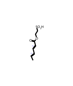 C/C=C/C=C/C(=O)OCCS(=O)(=O)O